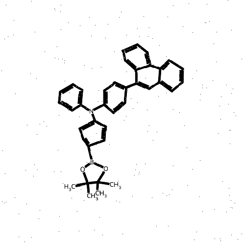 CC1(C)OB(c2ccc(N(c3ccccc3)c3ccc(-c4cc5ccccc5c5ccccc45)cc3)cc2)OC1(C)C